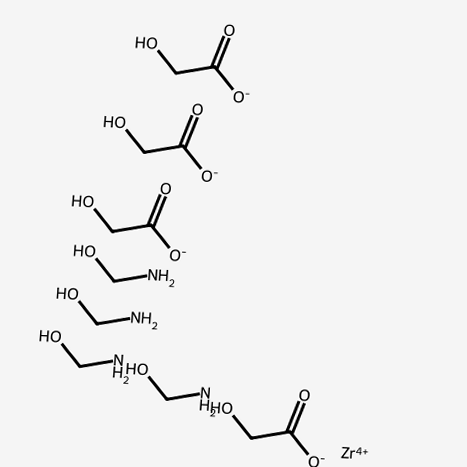 NCO.NCO.NCO.NCO.O=C([O-])CO.O=C([O-])CO.O=C([O-])CO.O=C([O-])CO.[Zr+4]